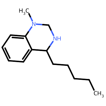 CCCCCC1NCN(C)c2ccccc21